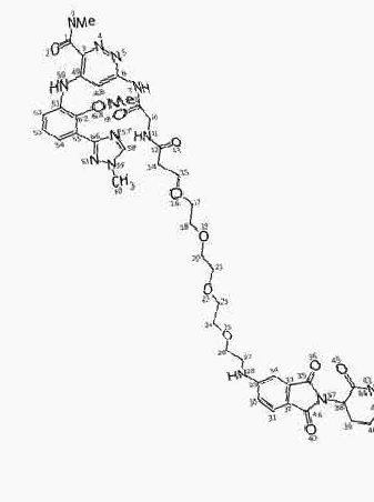 CNC(=O)c1nnc(NC(=O)CNC(=O)CCOCCOCCOCCOCCNc2ccc3c(c2)C(=O)N(C2CCC(=O)NC2=O)C3=O)cc1Nc1cccc(-c2ncn(C)n2)c1OC